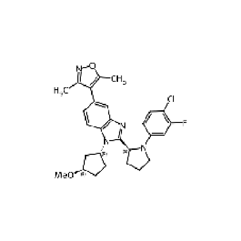 CO[C@@H]1CC[C@@H](n2c([C@@H]3CCCN3c3ccc(Cl)c(F)c3)nc3cc(-c4c(C)noc4C)ccc32)C1